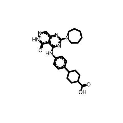 O=C(O)C1CCC(c2ccc(Nc3nc(N4CCCCCC4)nc4cn[nH]c(=O)c34)cc2)CC1